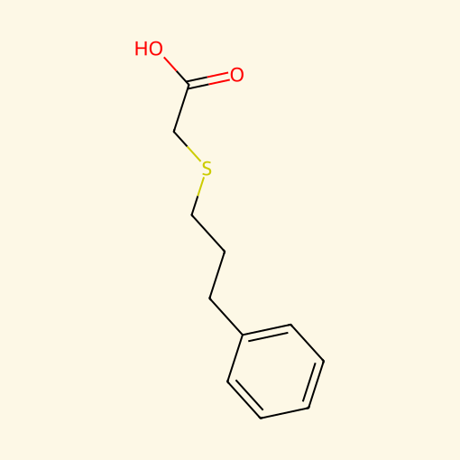 O=C(O)CSCCCc1ccccc1